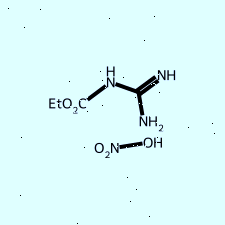 CCOC(=O)NC(=N)N.O=[N+]([O-])O